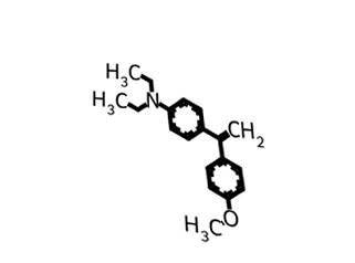 C=C(c1ccc(OC)cc1)c1ccc(N(CC)CC)cc1